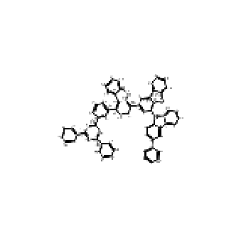 c1ccc(-c2ccc3c(c2)c2ccccc2n3-c2cc(-c3ccc(-c4cccc(-c5nc(-c6ccccc6)nc(-c6ccccc6)n5)c4)c4c3oc3ccccc34)cc3c2oc2ccccc23)cc1